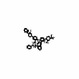 FC(F)(F)c1ccc(-c2ccc3c(c2)c2ccccc2n3-c2ccc(-c3ccc4c(c3)oc3ccccc34)cc2-c2nc(-c3ccccc3)nc(-c3ccccc3)n2)c(C(F)(F)F)c1